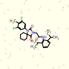 Cc1c(F)cc(N2C(=O)N(CC(=O)Nc3c(C(C)C)cccc3C(C)C)C(=O)C23CCCCC3)cc1F